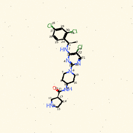 C[C@@H](Nc1nc(N2CCC(NC(=O)[C@H]3CCNC3)CC2)ncc1Cl)c1ccc(Cl)cc1Cl